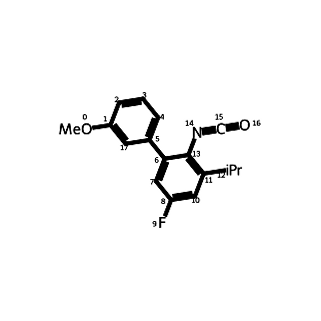 COc1cccc(-c2cc(F)cc(C(C)C)c2N=C=O)c1